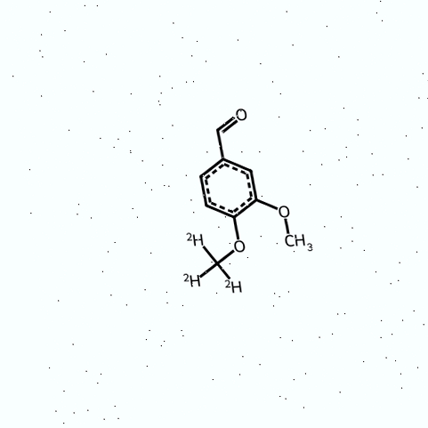 [2H]C([2H])([2H])Oc1ccc(C=O)cc1OC